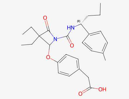 CCC[C@@H](NC(=O)N1C(=O)C(CC)(CC)C1Oc1ccc(CC(=O)O)cc1)c1ccc(C)cc1